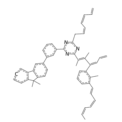 C=C/C=C\C=C/Cc1nc(/C(C)=C(C)/C(=C\C=C)c2cccc(/C=C/C=C\C=C/C)c2C)nc(-c2cccc(-c3ccc4c(c3)-c3ccccc3C4(C)C)c2)n1